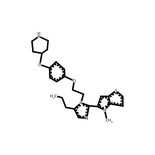 CCCc1cnc(-c2cc3sccc3n2C)n1CCOc1ccc(OC2CCNCC2)cc1